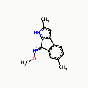 CO/N=C1\c2cc(C)ccc2-c2cc(C)[nH]c21